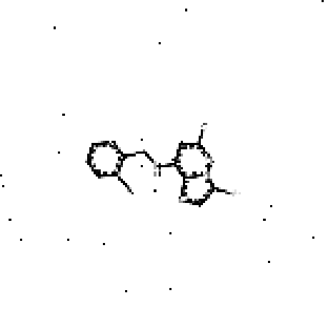 Cc1ccccc1CNc1cc(Cl)nn2c(C(C)C)cnc12